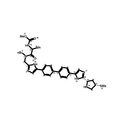 CCCCN(Cc1ncc(-c2ccc(-c3ccc(-c4cnc([C@@H]5C[C@H](SC)CN5)[nH]4)cc3)cc2)[nH]1)C(=O)C(NC(=O)OC)C(C)C